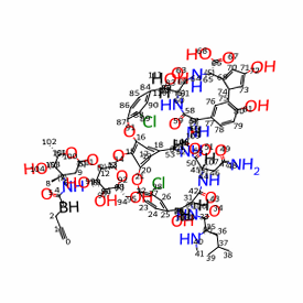 C#CCBC(=O)N[C@@]1(C)C[C@H](O[C@H]2[C@H](Oc3c4cc5cc3Oc3ccc(cc3Cl)[C@@H](O)[C@@H](NC(=O)[C@@H](CC(C)C)NC)C(=O)N[C@@H](CC(N)=O)C(=O)N[C@H]5C(=O)N[C@H]3C(=O)N[C@H](C(=O)N[C@H](C(=O)O)C5=CC(O)=CC5c5cc3ccc5O)[C@H](O)c3ccc(c(Cl)c3)O4)O[C@H](CO)[C@@H](O)[C@@H]2O)O[C@@H](C)[C@H]1O